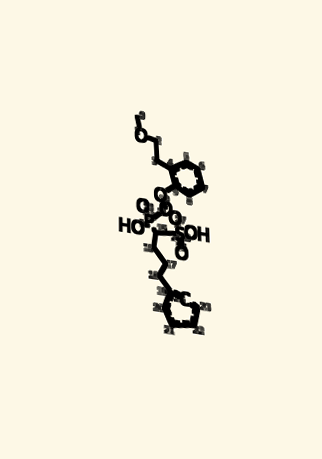 COCCc1ccccc1OOP(=O)(O)C(CCCc1ccccc1)S(=O)(=O)O